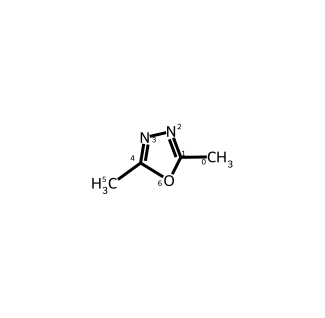 Cc1nnc(C)o1